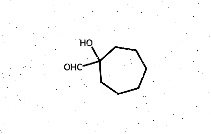 O=CC1(O)CCCCCC1